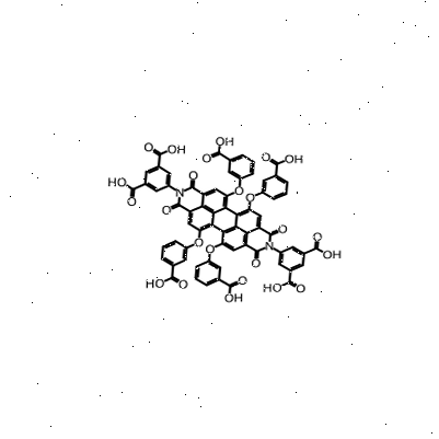 O=C(O)c1cccc(Oc2cc3c4c(cc(Oc5cccc(C(=O)O)c5)c5c6c(Oc7cccc(C(=O)O)c7)cc7c8c(cc(Oc9cccc(C(=O)O)c9)c(c2c45)c86)C(=O)N(c2cc(C(=O)O)cc(C(=O)O)c2)C7=O)C(=O)N(c2cc(C(=O)O)cc(C(=O)O)c2)C3=O)c1